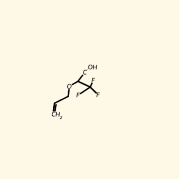 C=CCOC(CO)C(F)(F)F